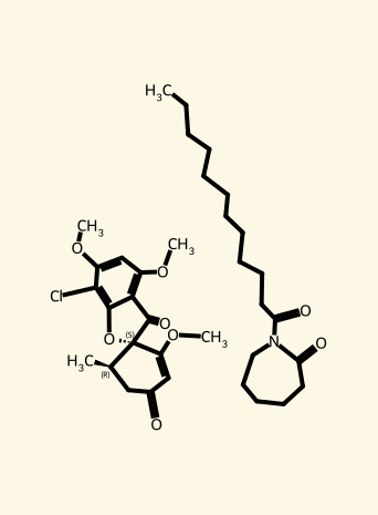 CCCCCCCCCCCC(=O)N1CCCCCC1=O.COC1=CC(=O)C[C@@H](C)[C@]12Oc1c(Cl)c(OC)cc(OC)c1C2=O